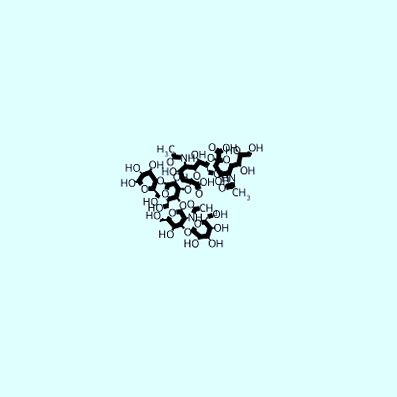 CC(=O)N[C@H]1[C@H](O[C@@H]2[C@H](O[C@]3(C(=O)O)C[C@H](O)[C@@H](NC(C)=O)[C@H]([C@H](O)[C@@H](CO)O[C@]4(C(=O)O)C[C@H](O)[C@@H](NC(C)=O)[C@H]([C@H](O)[C@H](O)CO)O4)O3)[C@@H](O)[C@H](O[C@H]3[C@H](O)[C@@H](O)[C@H](O)O[C@@H]3CO)O[C@@H]2CO)O[C@H](CO)[C@H](O)[C@@H]1O[C@@H]1O[C@H](CO)[C@H](O)[C@H](O)[C@H]1O